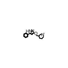 CN1CCCC(COc2cc(-c3ccccc3)[nH]n2)C1